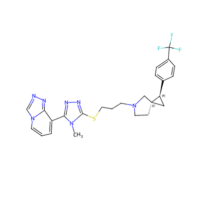 Cn1c(SCCCN2CC[C@]3(C[C@@H]3c3ccc(C(F)(F)F)cc3)C2)nnc1-c1cccn2cnnc12